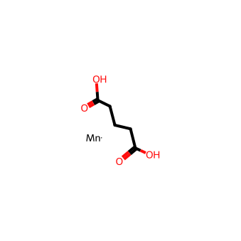 O=C(O)CCCC(=O)O.[Mn]